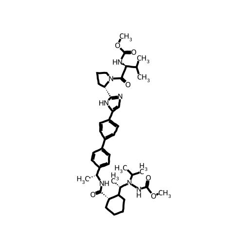 COC(=O)N[C@H](C(=O)N1CCC[C@H]1c1ncc(-c2ccc(-c3ccc([C@@H](C)NC(=O)[C@H]4CCCCC4[C@H](C)N(NC(=O)OC)C(C)C)cc3)cc2)[nH]1)C(C)C